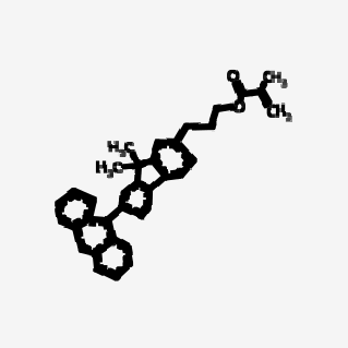 C=C(C)C(=O)OCCCc1ccc2c(c1)C(C)(C)c1cc(-c3c4ccccc4cc4ccccc34)ccc1-2